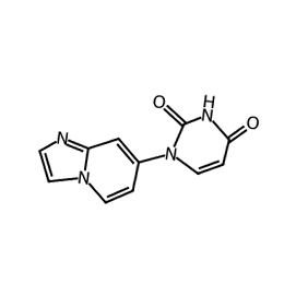 O=c1ccn(-c2ccn3ccnc3c2)c(=O)[nH]1